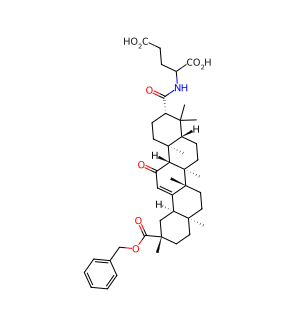 CC1(C)[C@@H](C(=O)NC(CCC(=O)O)C(=O)O)CC[C@]2(C)[C@H]3C(=O)C=C4[C@@H]5C[C@@](C)(C(=O)OCc6ccccc6)CC[C@]5(C)CC[C@@]4(C)[C@]3(C)CC[C@@H]12